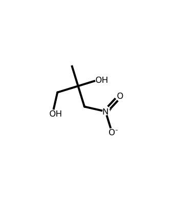 CC(O)(CO)C[N+](=O)[O-]